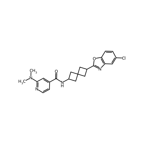 CN(C)c1cc(C(=O)NC2CC3(C2)CC(c2nc4cc(Cl)ccc4o2)C3)ccn1